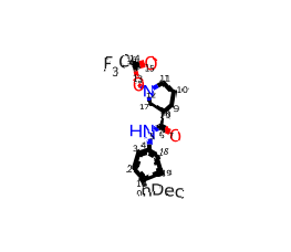 CCCCCCCCCCc1ccc(NC(=O)[C@@H]2CCCN(OC(=O)C(F)(F)F)C2)cc1